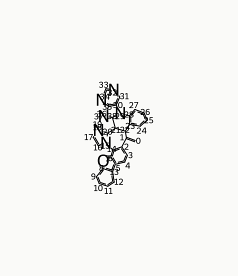 C=C1c2ccc3c(oc4ccccc43)c2N2C=CN(C)C2C2C1c1ccccc1N1c3cncnc3N(C)C21